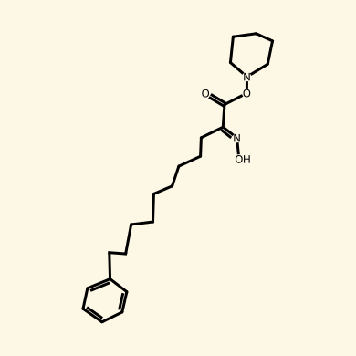 O=C(ON1CCCCC1)C(CCCCCCCCCc1ccccc1)=NO